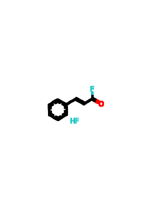 F.O=C(F)C=Cc1ccccc1